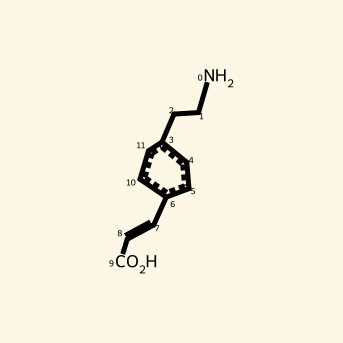 NCCc1ccc(C=CC(=O)O)cc1